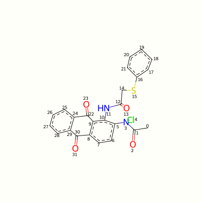 CC(=O)N(Cl)c1ccc2c(c1NC(=O)CSc1ccccc1)C(=O)c1ccccc1C2=O